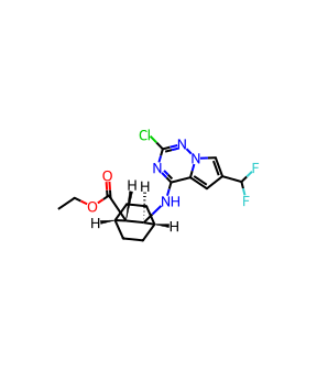 CCOC(=O)[C@H]1[C@H]2CC[C@H](CC2)[C@@H]1Nc1nc(Cl)nn2cc(C(F)F)cc12